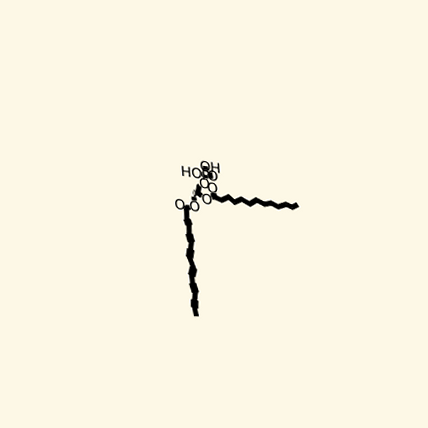 CC#CC#CC#CC#CC#CC#CC(=O)OC[C@H](COP(=O)(O)O)OC(=O)CCCCCCCCCCCC